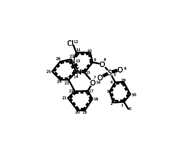 Cc1ccc(S(=O)(=O)Oc2cc(Cl)nnc2Oc2ccccc2-c2ccccc2)cc1